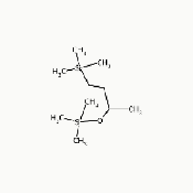 CC(CC[Si](C)(C)C)O[Si](C)(C)C